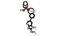 Nc1nc2ncc(-c3ccc4c(c3)CN(C(=O)N3C5CCC3CC(O)(C(F)(F)F)C5)CCO4)cc2[nH]1